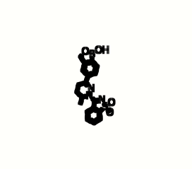 CC1CCC(c2ccc3c(c2)COB3O)=NN1C1=NS(=O)(=O)c2ccccc21